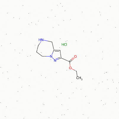 CCOC(=O)c1cc2n(n1)CCCNC2.Cl